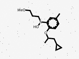 COCCCN(O)c1cc(C)ccc1OC(C)CC1CC1